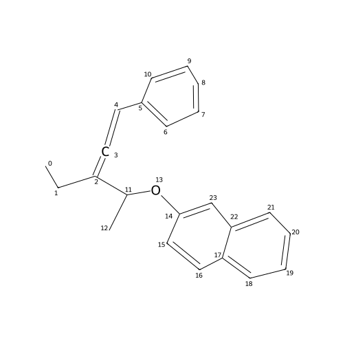 CCC(=C=Cc1ccccc1)C(C)Oc1ccc2ccccc2c1